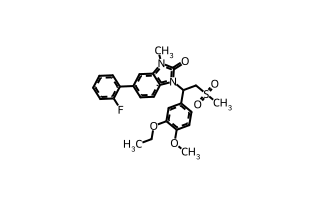 CCOc1cc(C(CS(C)(=O)=O)n2c(=O)n(C)c3cc(-c4ccccc4F)ccc32)ccc1OC